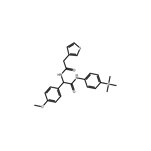 COc1ccc(C(NC(=O)Cc2ccsc2)C(=O)Nc2ccc([Si](C)(C)C)cc2)cc1